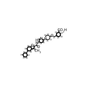 Cc1c(C(=O)Nc2ccc(N3CCC(OCc4cccc(C(=O)O)c4)CC3)nc2)oc2ccc(-c3ccccc3)cc12